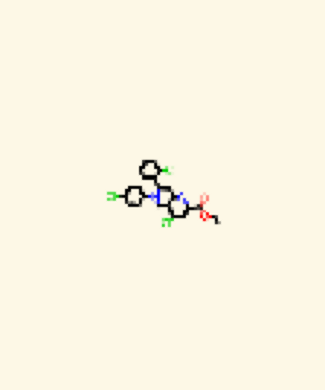 CCOC(=O)c1cc(Cl)c2c(n1)C=C(c1ccccc1Cl)N(c1ccc(Cl)cc1)C2